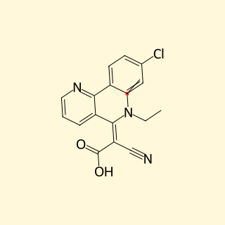 CCN(CC)C(=C(C#N)C(=O)O)c1cccnc1-c1ccc(Cl)cc1